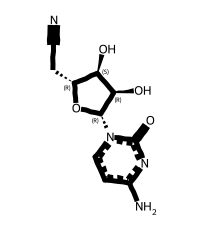 N#CC[C@H]1O[C@@H](n2ccc(N)nc2=O)[C@H](O)[C@@H]1O